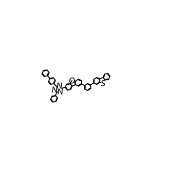 c1ccc(-c2ccc(-c3nc(-c4ccccc4)nc(-c4ccc5c(c4)oc4ccc(-c6cccc(-c7ccc8c(c7)sc7ccccc78)c6)cc45)n3)cc2)cc1